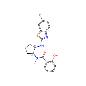 COc1ccccc1C(=O)N(C)[C@H]1CCC[C@H]1Nc1nc2ccc(F)cc2s1